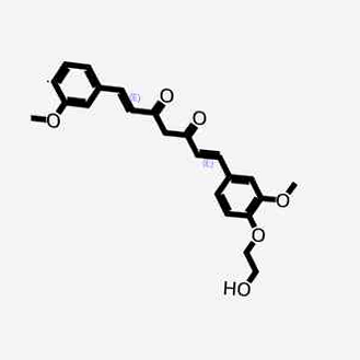 COc1[c]ccc(/C=C/C(=O)CC(=O)/C=C/c2ccc(OCCO)c(OC)c2)c1